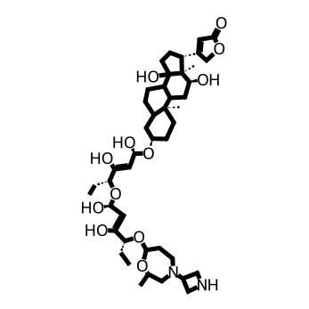 CC[C@@H](OC1CCN(C2CNC2)CC(C)O1)/C(O)=C/[C@@H](O)O[C@H](CC)/C(O)=C/[C@@H](O)O[C@H]1CC[C@@]2(C)C(CCC3C2C[C@H](O)[C@]2(C)[C@@H](C4=CC(=O)OC4)CCC32O)C1